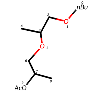 CCCCOCC(C)OCC(C)OC(C)=O